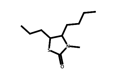 CCCCC1C(CCC)SC(=O)N1C